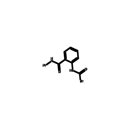 CC(C)NC(=O)c1ccccc1NC(=O)C(C)C